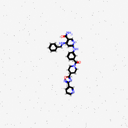 NC(=O)c1cnc(Nc2cccc(C(=O)N3CCC(c4nc(-c5cccnc5)no4)CC3)c2)cc1NCc1ccccc1